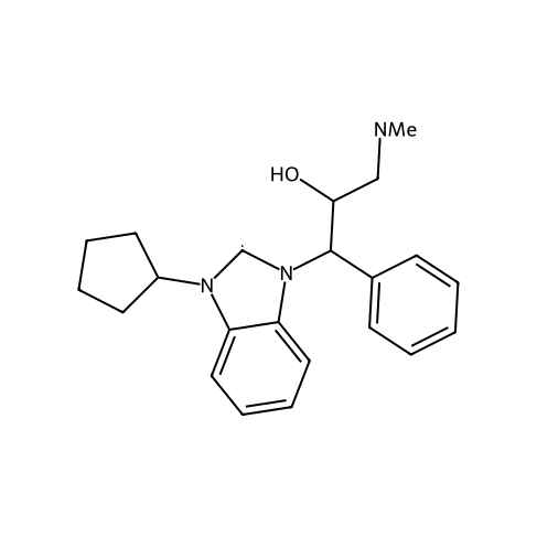 CNCC(O)C(c1ccccc1)N1[CH]N(C2CCCC2)c2ccccc21